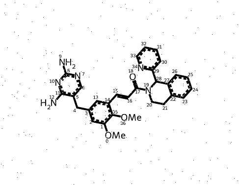 COc1cc(Cc2cnc(N)nc2N)cc(C=CC(=O)N2CCc3ccccc3C2c2ccccn2)c1OC